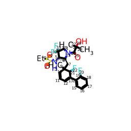 CCS(=O)(=O)N[C@@H]1[C@H](CC2(C)C=CC=C(c3ccccc3F)C2F)N(C(=O)C(C)(C)O)CC1(F)F